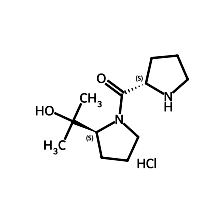 CC(C)(O)[C@@H]1CCCN1C(=O)[C@@H]1CCCN1.Cl